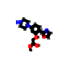 COC(=O)COc1cc(N2CCNCC2)ccc1-c1ncco1